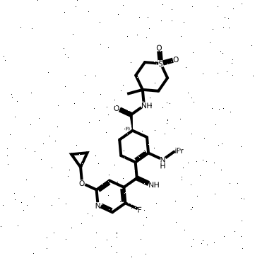 CC(C)NC1=C(C(=N)c2cc(OC3CC3)ncc2F)CC[C@@H](C(=O)NC2(C)CCS(=O)(=O)CC2)C1